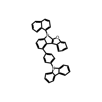 c1ccc2c(-n3c4cccc(-c5ccc(-n6c7ccccc7c7ccccc76)cc5)c4c4c5ccccc5oc43)cccc2c1